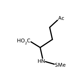 CSNC(CCC(C)=O)C(=O)O